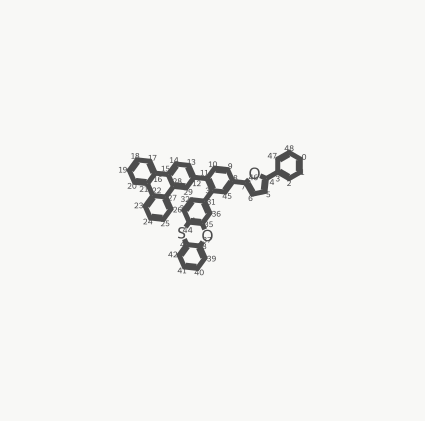 c1ccc(-c2ccc(-c3ccc(-c4ccc5c6ccccc6c6ccccc6c5c4)c(-c4ccc5c(c4)Oc4ccccc4S5)c3)o2)cc1